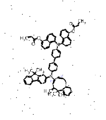 C=CC(=O)Oc1cccc2c(N(c3ccc(-c4ccc(N(C5=C/C(=C)C(C)(C)c6ccccc6C/C=C\5)c5ccc6c(c5)C(C)(C)c5ccccc5-6)cc4)cc3)c3cccc4c(OC(=O)C=C)cccc34)cccc12